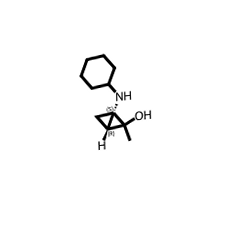 CC1(O)[C@@H]2C[C@]21NC1CCCCC1